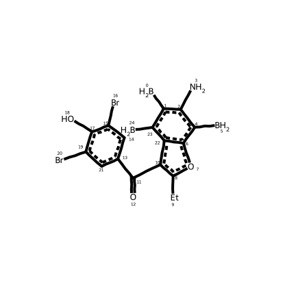 Bc1c(N)c(B)c2oc(CC)c(C(=O)c3cc(Br)c(O)c(Br)c3)c2c1B